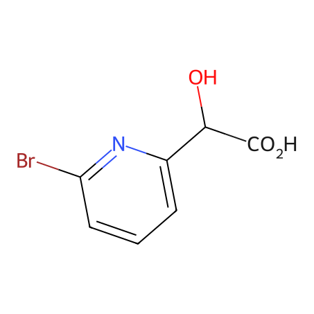 O=C(O)C(O)c1cccc(Br)n1